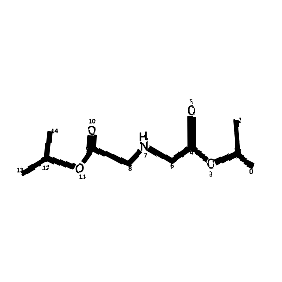 CC(C)OC(=O)CNCC(=O)OC(C)C